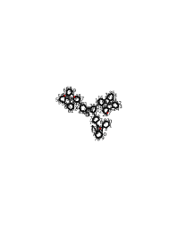 c1ccc(-n2c(-c3ccc(-c4cc(-c5ccc6c(c5)C5(c7ccccc7-c7ccccc75)c5ccccc5-6)cc5c4sc4ccc(-c6ccc7c(c6)C6(c8ccccc8-c8ccccc86)c6ccccc6-7)cc45)cc3)nc3ccccc32)cc1